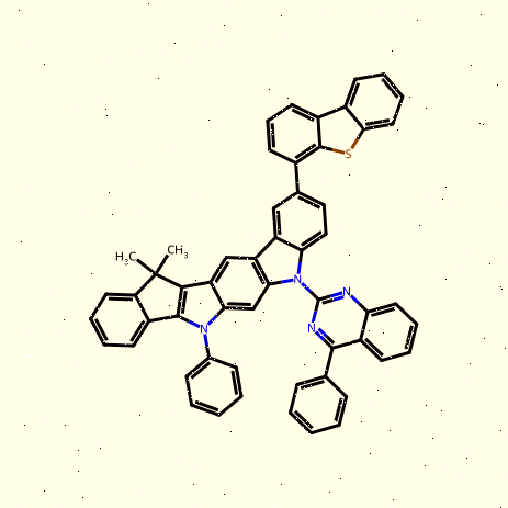 CC1(C)c2ccccc2-c2c1c1cc3c4cc(-c5cccc6c5sc5ccccc56)ccc4n(-c4nc(-c5ccccc5)c5ccccc5n4)c3cc1n2-c1ccccc1